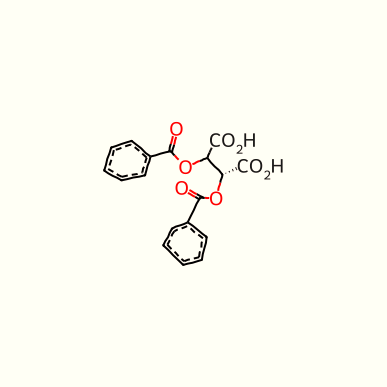 O=C(OC(C(=O)O)[C@@H](OC(=O)c1ccccc1)C(=O)O)c1ccccc1